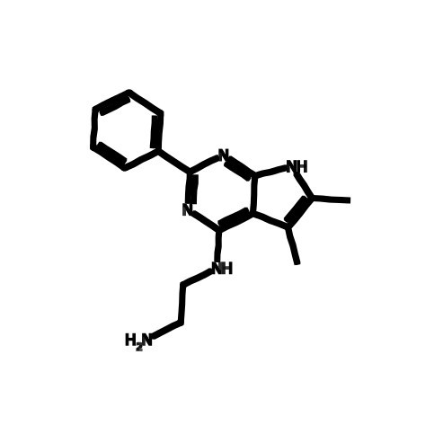 Cc1[nH]c2nc(-c3ccccc3)nc(NCCN)c2c1C